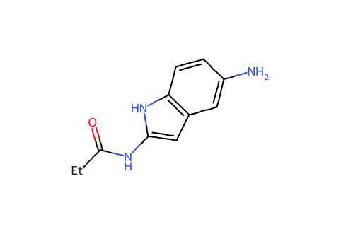 CCC(=O)Nc1cc2cc(N)ccc2[nH]1